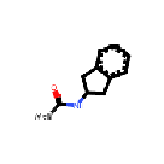 CNC(=O)NC1Cc2ccccc2C1